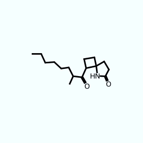 CCCCCCC(C)C(=O)C1CCC12CCC(=O)N2